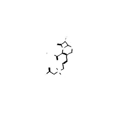 C[N+](C)(CC=CC1=C(C(=O)[O-])N2C(=O)[C@@H](N)[C@H]2SC1)CC(N)=O.I